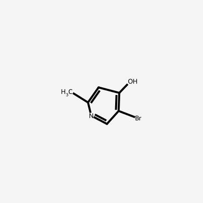 Cc1cc(O)c(Br)cn1